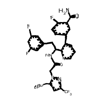 CC(C)(C)c1cc(C(F)(F)F)nn1CC(=O)NC(Cc1cc(F)cc(F)c1)c1ncccc1-c1ccc(F)c(C(N)=O)c1